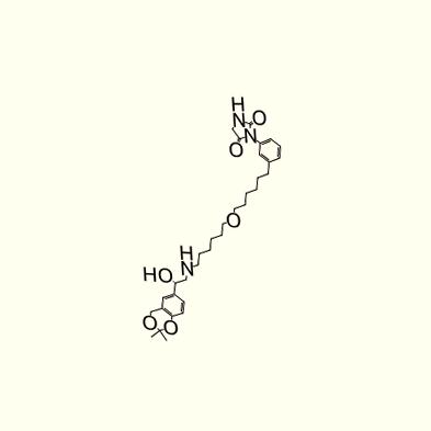 CC1(C)OCc2cc([C@H](O)CNCCCCCCOCCCCCCc3cccc(N4C(=O)CNC4=O)c3)ccc2O1